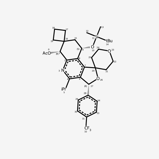 CC(=O)O[C@H]1c2nc(C(C)C)c3c(c2[C@@H](O[Si](C)(C)C(C)(C)C)CC12CCC2)C1(CCOCC1)O[C@@H]3c1ccc(C(F)(F)F)cc1